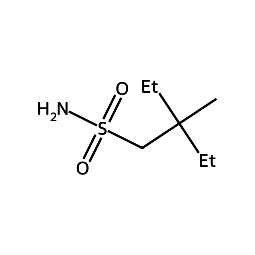 CCC(C)(CC)CS(N)(=O)=O